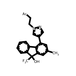 CC(=O)CCn1cc(-c2cc(C)cc3c2-c2ccccc2C3(O)C(F)(F)F)cn1